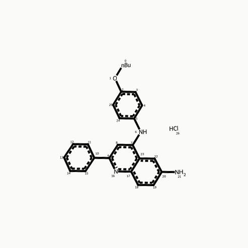 CCCCOc1ccc(Nc2cc(-c3ccccc3)nc3ccc(N)cc23)cc1.Cl